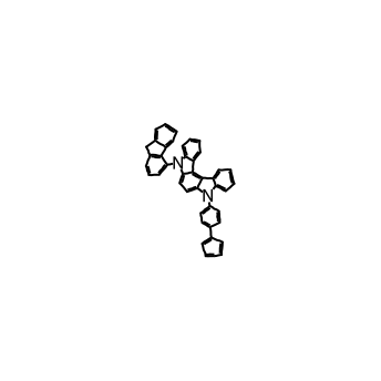 c1ccc(-c2ccc(-n3c4ccccc4c4c5c6ccccc6n(-c6cccc7c6-c6ccccc6C7)c5ccc43)cc2)cc1